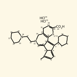 CC1=CC=C2C(C3CCCCC3)=C3C(=CN(CCN4CCCCC4)CC4=C3SC(C(=O)O)=NC4)C12.Cl.Cl